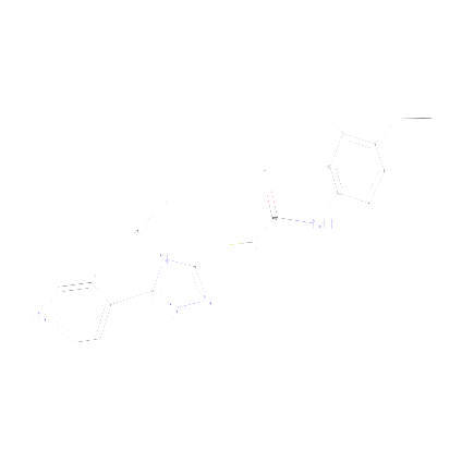 CCc1ccc(NC(=O)CSc2nnc(-c3ccncc3)n2CC)cc1